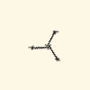 O=c1n(CCSCCCCCCCCCOS(=O)(=O)O)c(=O)n(CCSCCCCCCCCCOS(=O)(=O)O)c(=O)n1CCSCCCCCCCCCOS(=O)(=O)O